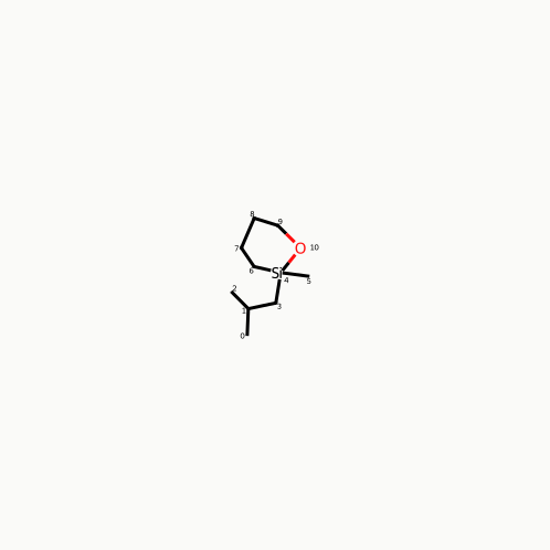 CC(C)C[Si]1(C)CCCCO1